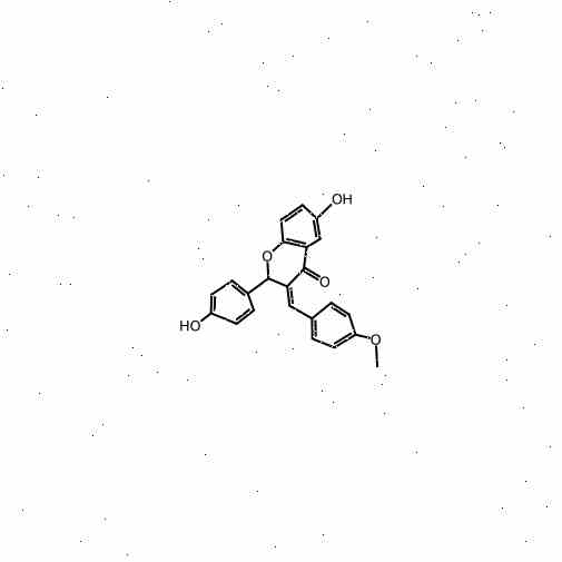 COc1ccc(C=C2C(=O)c3cc(O)ccc3OC2c2ccc(O)cc2)cc1